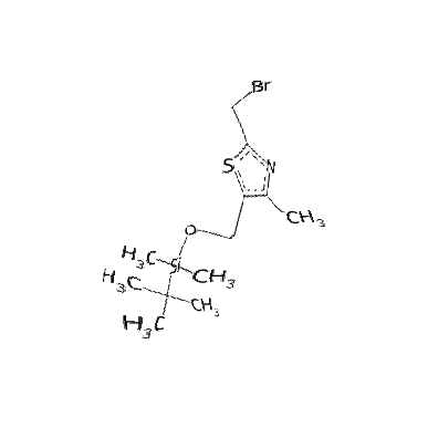 Cc1nc(CBr)sc1CO[Si](C)(C)C(C)(C)C